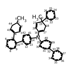 CC1C=CC(c2ccccc2-c2ccc(N(C3=CCC(C)(c4ccccc4)C=C3)c3ccc(-c4ccccc4)cc3)cc2)=CC1